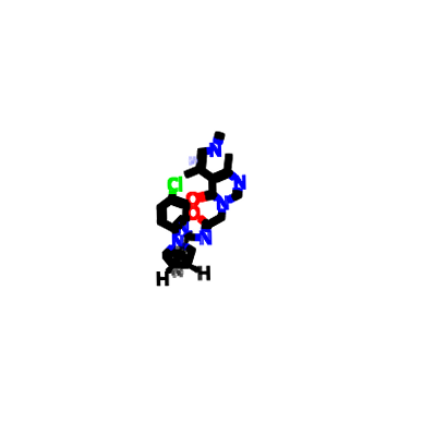 C=N/C=C(/C)c1c(C)ncn(Cc2nc([C@@]34C5[C@H]3[C@H]4CN5c3ccc(Cl)cc3)no2)c1=O